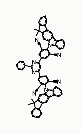 CC1(C)c2ccccc2-c2cc3c4ccccc4n(-c4c(C#N)cc(-c5cc(-c6cc(C#N)c(-n7c8ccccc8c8cc9c(cc87)C(C)(C)c7ccccc7-9)c(C#N)c6)nc(-c6ccccc6)n5)cc4C#N)c3cc21